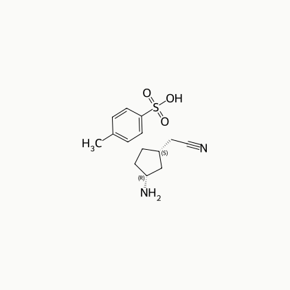 Cc1ccc(S(=O)(=O)O)cc1.N#CC[C@H]1CC[C@@H](N)C1